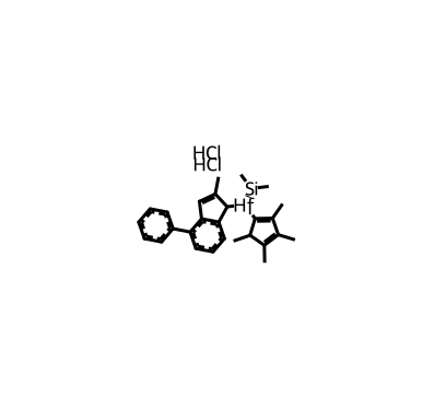 CC1=Cc2c(-c3ccccc3)cccc2[CH]1[Hf]([C]1=C(C)C(C)=C(C)C1C)=[Si](C)C.Cl.Cl